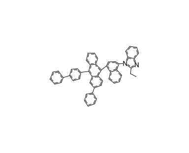 CCc1nc2ccccc2n1-c1ccc(-c2c3ccccc3c(-c3ccc(-c4ccccc4)cc3)c3cc(-c4ccccc4)ccc23)c2ccccc12